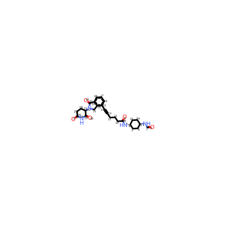 O=CN[C@H]1CC[C@H](NC(=O)CCCC#Cc2cccc3c2CN(C2CCC(=O)NC2=O)C3=O)CC1